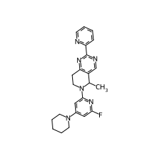 CC1c2cnc(-c3ccccn3)nc2CCN1c1cc(N2CCCCC2)cc(F)n1